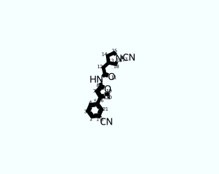 N#Cc1cccc(-c2cc(NC(=O)CC3CCN(C#N)C3)on2)c1